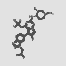 [2H]C([2H])([2H])Oc1nc(N[C@H]2CCN(C)C[C@H]2F)nn2cc(F)c(-c3ccc4nnn(CC(F)F)c4c3)c12